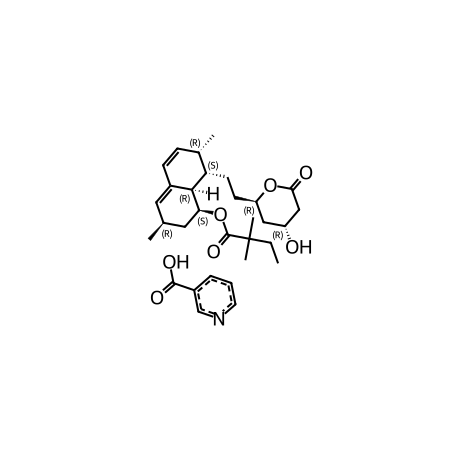 CCC(C)(C)C(=O)O[C@H]1C[C@@H](C)C=C2C=C[C@H](C)[C@H](CC[C@@H]3C[C@@H](O)CC(=O)O3)[C@H]21.O=C(O)c1cccnc1